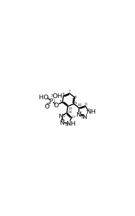 O=P(O)(O)Oc1cccc(-c2c[nH]nn2)c1-c1c[nH]nn1